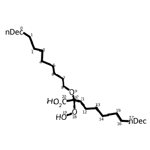 CCCCCCCCCCCCCCCCCCOC(CCCCCCCCCCCCCCCC)(OO)C(=O)O